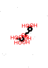 O=C(C=Cc1ccc(O)c(O)c1)OC1O[C@H](CO)[C@@H](O)[C@H](O)[C@H]1O